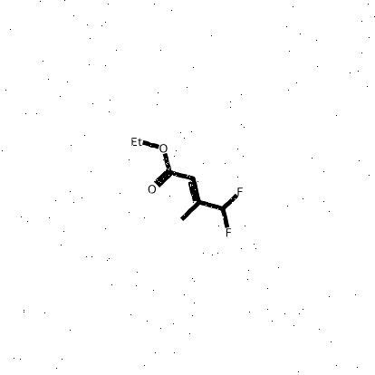 CCOC(=O)/C=C(\C)C(F)F